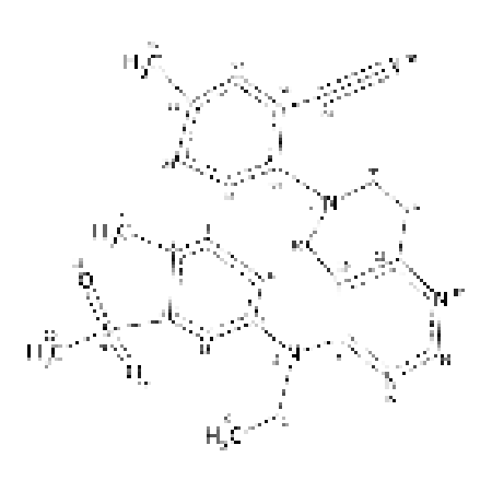 CCN(c1ccc(C)c(S(C)(=O)=O)c1)c1ncnc2c1CN(c1ccc(C)cc1C#N)CC2